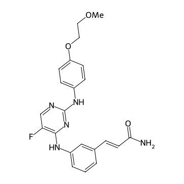 COCCOc1ccc(Nc2ncc(F)c(Nc3cccc(C=CC(N)=O)c3)n2)cc1